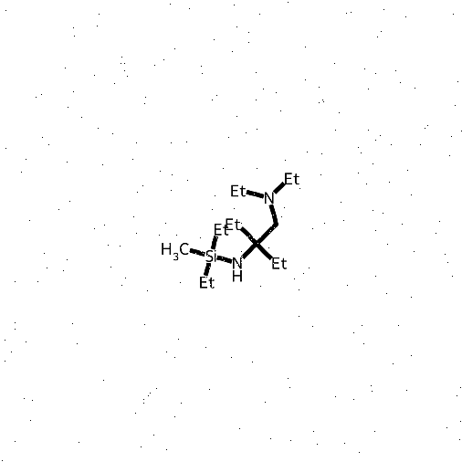 CCN(CC)CC(CC)(CC)N[Si](C)(CC)CC